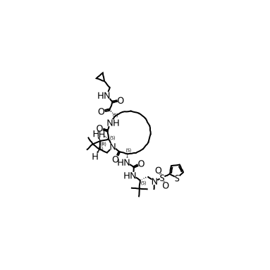 CN(C[C@@H](NC(=O)N[C@H]1CCCCCCCCC[C@@H](C(=O)C(=O)NCC2CC2)NC(=O)[C@@H]2[C@@H]3[C@H](CN2C1=O)C3(C)C)C(C)(C)C)S(=O)(=O)c1cccs1